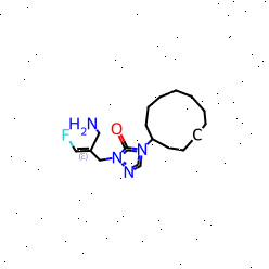 NC/C(=C\F)Cn1ncn(C2CCCCCCCCCC2)c1=O